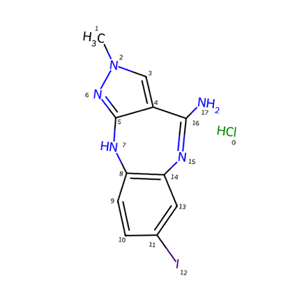 Cl.Cn1cc2c(n1)Nc1ccc(I)cc1N=C2N